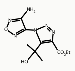 CCOC(=O)c1nnn(-c2nonc2N)c1C(C)(C)O